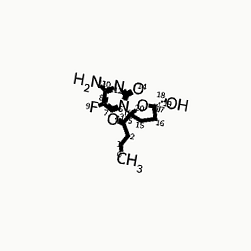 CCCC(=O)[C@]1(n2cc(F)c(N)nc2=O)CC[C@@H](CO)O1